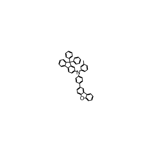 Cc1cccc(N(c2ccc(-c3ccc4oc5ccccc5c4c3)cc2)c2ccc3c(c2)C(c2ccccc2)(c2ccccc2)c2ccccc2-3)c1